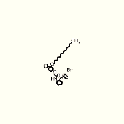 CCCCCCCCCCCCCCOc1cc(OCC(=O)Nc2ccccc2C[n+]2ccsc2)ccc1Cl.[Br-]